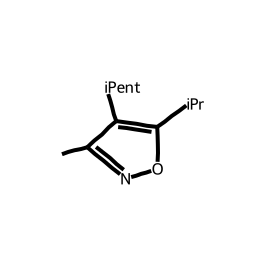 CCCC(C)c1c(C)noc1C(C)C